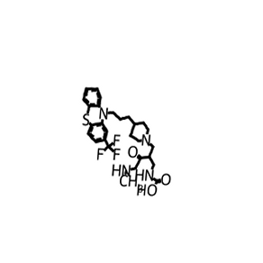 CNCC(=O)C(CNC(=O)O)CN1CCC(CCCN2c3ccccc3Sc3ccc(C(F)(F)F)cc32)CC1